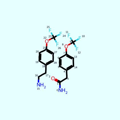 NC(=O)Cc1ccc(OC(F)(F)F)cc1.NCCc1ccc(OC(F)(F)F)cc1